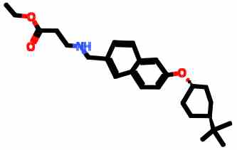 CCOC(=O)CCNCc1ccc2cc(O[C@H]3CC[C@H](C(C)(C)C)CC3)ccc2c1